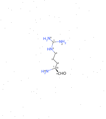 NC(N)NCCC[C@H](N)C=O